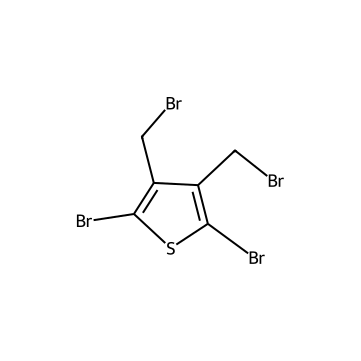 BrCc1c(Br)sc(Br)c1CBr